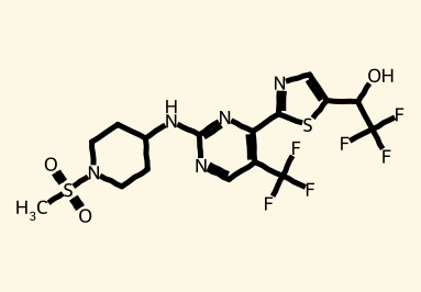 CS(=O)(=O)N1CCC(Nc2ncc(C(F)(F)F)c(-c3ncc(C(O)C(F)(F)F)s3)n2)CC1